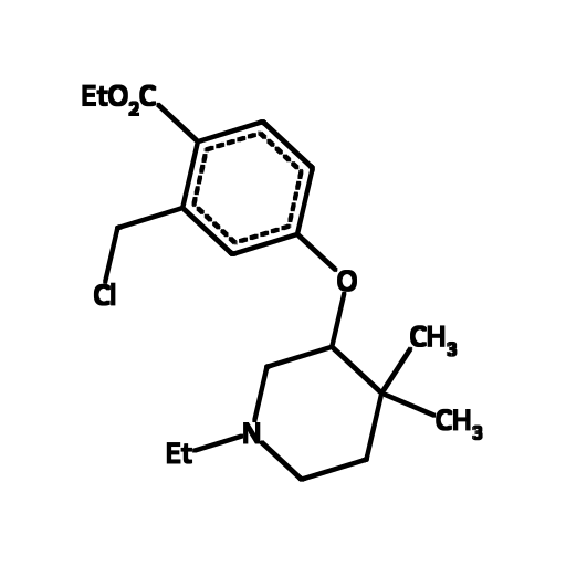 CCOC(=O)c1ccc(OC2CN(CC)CCC2(C)C)cc1CCl